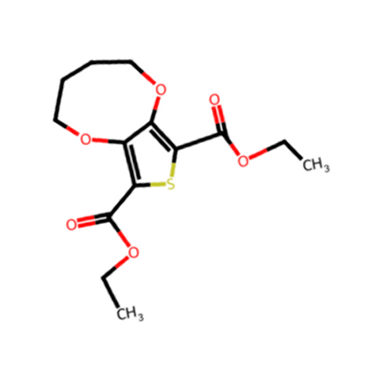 CCOC(=O)c1sc(C(=O)OCC)c2c1OCCCCO2